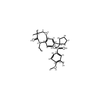 CCN1C(=O)C(C)(C)COc2cc(C3(S(=O)(=O)c4ccc(OC)c(F)c4)CCCC3)ccc21